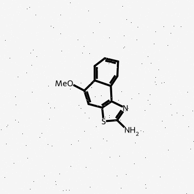 COc1cc2sc(N)nc2c2ccccc12